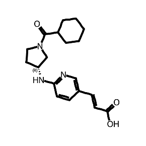 O=C(O)C=Cc1ccc(N[C@@H]2CCN(C(=O)C3CCCCC3)C2)nc1